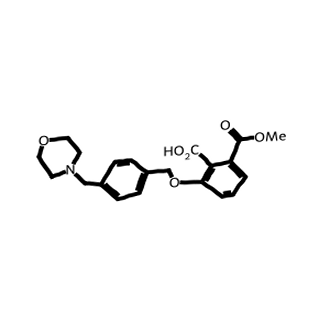 COC(=O)c1cccc(OCc2ccc(CN3CCOCC3)cc2)c1C(=O)O